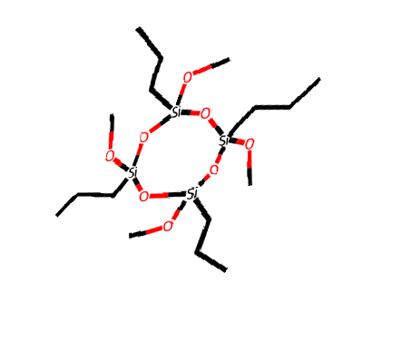 CCC[Si]1(OC)O[Si](CCC)(OC)O[Si](CCC)(OC)O[Si](CCC)(OC)O1